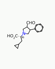 O=CC1CN([C@H](CC2CC2)C(=O)O)CC1c1ccccc1